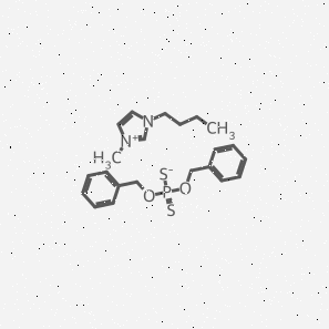 CCCCn1cc[n+](C)c1.S=P([S-])(OCc1ccccc1)OCc1ccccc1